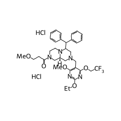 CCOc1nc(OC)c(CN2CC(C(c3ccccc3)c3ccccc3)N3CCN(C(=O)CCOC)C[C@H]3C2)c(OCC(F)(F)F)n1.Cl.Cl